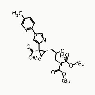 COC(=O)[C@@]1(c2cn(-c3ccc(C)cn3)cn2)C[C@H]1C[C@@H](C)CN(C(=O)OC(C)(C)C)C(=O)OC(C)(C)C